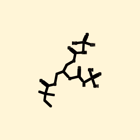 CCC(C)(C)C(=O)OCC(COC(=O)NP(=O)(O)O)OC(=O)NP(=O)(O)O